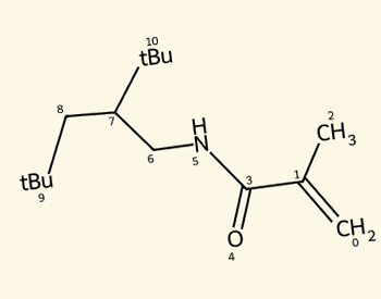 C=C(C)C(=O)NCC(CC(C)(C)C)C(C)(C)C